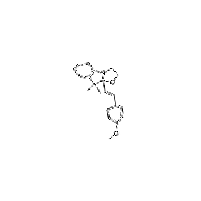 COc1ccc(C=CC23OCCN2c2ccccc2C3(C)C)cc1